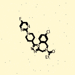 CCC(=O)N1Cc2cc(Cl)ccc2-n2c(nnc2C2CCN(c3ncc(F)cn3)CC2)C1